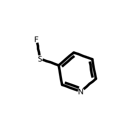 FSc1cccnc1